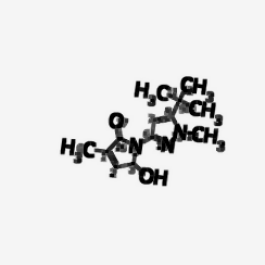 CC1=CC(O)N(c2cc(C(C)(C)C)n(C)n2)C1=O